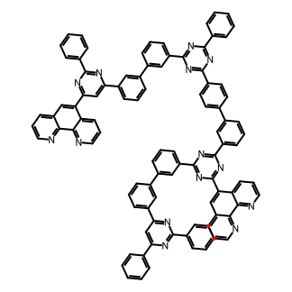 c1ccc(-c2cc(-c3cccc(-c4cccc(-c5nc(-c6cccc(-c7ccc(-c8nc(-c9ccccc9)nc(-c9cccc(-c%10cccc(-c%11cc(-c%12cc%13cccnc%13c%13ncccc%12%13)nc(-c%12ccccc%12)n%11)c%10)c9)n8)cc7)c6)nc(-c6cc7cccnc7c7ncccc67)n5)c4)c3)nc(-c3ccccc3)n2)cc1